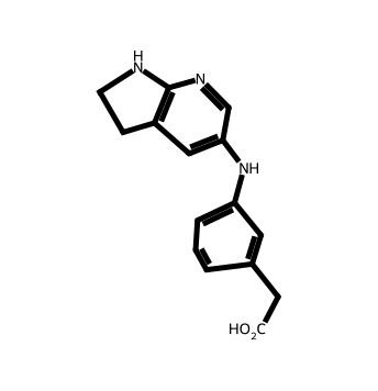 O=C(O)Cc1cccc(Nc2cnc3c(c2)CCN3)c1